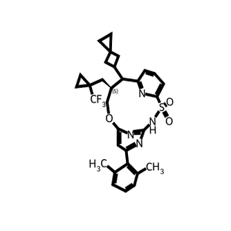 Cc1cccc(C)c1-c1cc2nc(n1)NS(=O)(=O)c1cccc(n1)C(C1CC3(CC3)C1)[C@H](CC1(C(F)(F)F)CC1)CO2